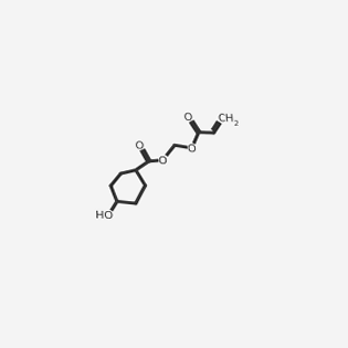 C=CC(=O)OCOC(=O)C1CCC(O)CC1